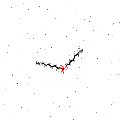 N#CCCCCCCOC(=O)OCCCCCCC#N